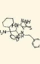 NC(C=O)(C1CCCCC1)C(Nc1n[nH]c(=S)s1)C(=O)NCCc1ccccc1